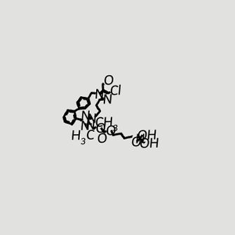 CCCCc1nc(Cl)c(C=O)n1Cc1ccc(-c2ccccc2-c2nnn(C(C)OC(=O)OCCCCON(O)O)n2)cc1